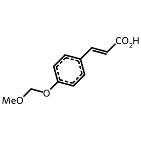 COCOc1ccc(C=CC(=O)O)cc1